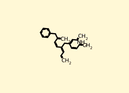 C=C/C=C(\C=C/C(=C)N)CC(/C=C\C(=C)Cc1ccccc1)=C/C=C